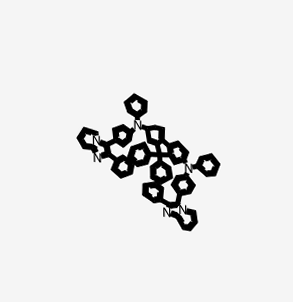 C1=C2C(=CC(N(c3ccccc3)c3ccc(-c4c(-c5ccccc5)nc5ccccn45)cc3)C1)C(c1ccccc1)(c1ccccc1)c1cc(N(c3ccccc3)c3ccc(-c4c(-c5ccccc5)nc5ccccn45)cc3)ccc12